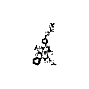 CC(=O)N[C@@H](CC(=O)OC(C)C)C(=O)N(c1ccccc1)[C@@H](NC(=O)Nc1ccc(C=NNC(=O)OC(C)(C)C)cc1)C(=O)OC(C)C